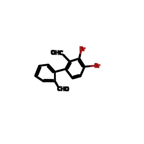 O=Cc1ccccc1-c1ccc(Br)c(Br)c1C=O